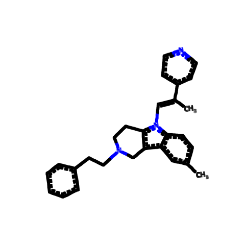 CC(=Cn1c2c(c3cc(C)ccc31)CN(CCc1ccccc1)CC2)c1ccncc1